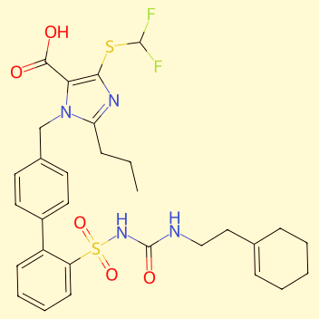 CCCc1nc(SC(F)F)c(C(=O)O)n1Cc1ccc(-c2ccccc2S(=O)(=O)NC(=O)NCCC2=CCCCC2)cc1